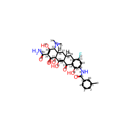 Cc1cccc(C(=O)Nc2cc(F)c3c(c2O)C(=O)C2=C(O)[C@]4(O)C(=O)C(C(N)=O)=C(O)[C@@H](N(C)C)[C@@H]4C[C@@H]2C3)c1